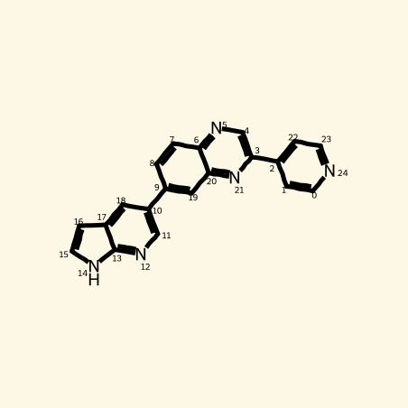 c1cc(-c2cnc3ccc(-c4cnc5[nH]ccc5c4)cc3n2)ccn1